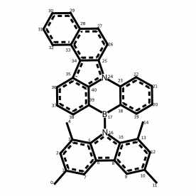 Cc1cc(C)c2c(c1)c1cc(C)cc(C)c1n2B1c2ccccc2-n2c3ccc4ccccc4c3c3cccc1c32